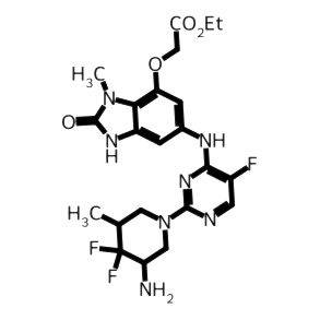 CCOC(=O)COc1cc(Nc2nc(N3CC(C)C(F)(F)C(N)C3)ncc2F)cc2[nH]c(=O)n(C)c12